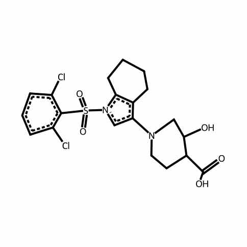 O=C(O)C1CCN(c2cn(S(=O)(=O)c3c(Cl)cccc3Cl)c3c2CCCC3)CC1O